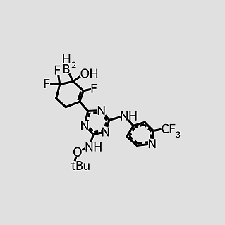 BC1(O)C(F)=C(c2nc(NOC(C)(C)C)nc(Nc3ccnc(C(F)(F)F)c3)n2)CCC1(F)F